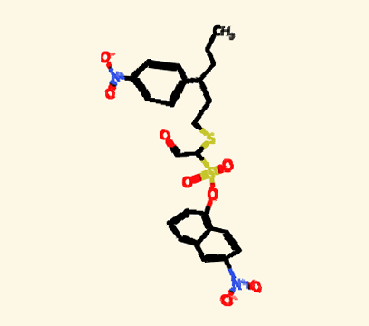 CCCC(CCSC(C=O)S(=O)(=O)Oc1cccc2cc([N+](=O)[O-])ccc12)c1ccc([N+](=O)[O-])cc1